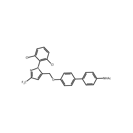 CC(=O)Nc1ccc(-c2ccc(OCc3cc(C(F)(F)F)nn3-c3c(Cl)cccc3Cl)cc2)cc1